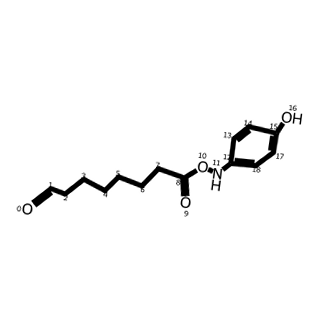 O=CCCCCCCC(=O)ONc1ccc(O)cc1